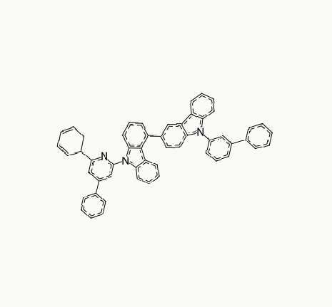 C1=CCC(c2cc(-c3ccccc3)cc(-n3c4ccccc4c4c(-c5ccc6c(c5)c5ccccc5n6-c5cccc(-c6ccccc6)c5)cccc43)n2)C=C1